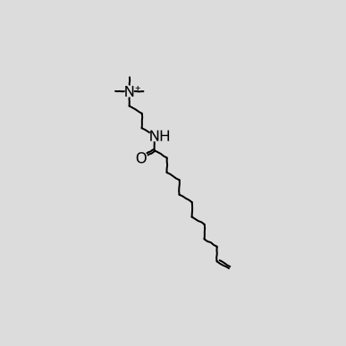 C=CCCCCCCCCCC(=O)NCCC[N+](C)(C)C